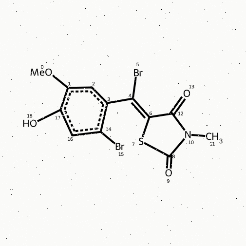 COc1cc(/C(Br)=C2\SC(=O)N(C)C2=O)c(Br)cc1O